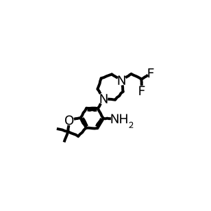 CC1(C)Cc2cc(N)c(N3CCCN(CC(F)F)CC3)cc2O1